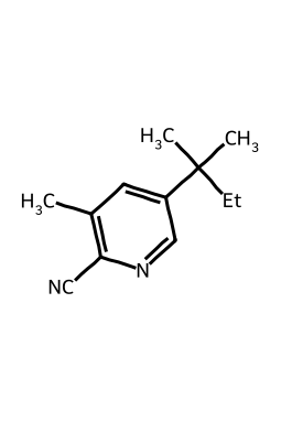 CCC(C)(C)c1cnc(C#N)c(C)c1